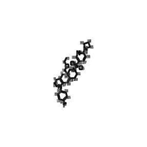 CCOC[C@]12Cc3cnn(-c4ccc(F)cc4)c3C=C1CCN(S(=O)(=O)c1ccc(N3CCC3)nc1)C2